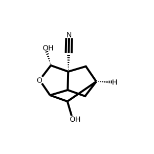 N#C[C@]12C[C@H]3CC1C(O[C@@H]2O)C3O